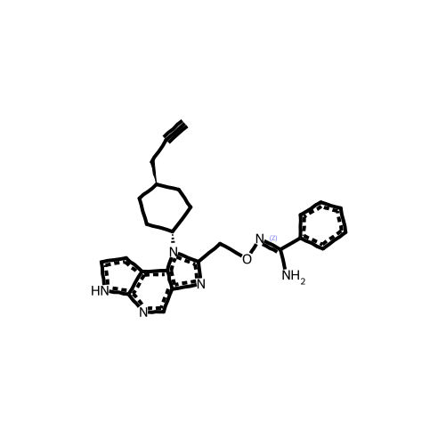 C#CC[C@H]1CC[C@H](n2c(CO/N=C(\N)c3ccccc3)nc3cnc4[nH]ccc4c32)CC1